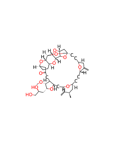 C=C1C[C@@H]2CC[C@@]34C[C@H]5O[C@H]6[C@@H](O3)[C@H]3O[C@H](CC[C@@H]3O[C@H]6C5O4)CC(=O)C[C@@H]3[C@@H](OC)[C@@H](C[C@H](O)CO)O[C@H]3C[C@H]3O[C@@H](CC[C@@H]1O2)C[C@@H](C)C3=C